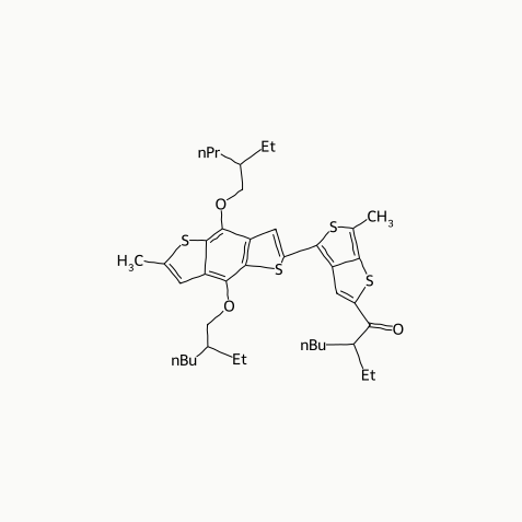 CCCCC(CC)COc1c2cc(C)sc2c(OCC(CC)CCC)c2cc(-c3sc(C)c4sc(C(=O)C(CC)CCCC)cc34)sc12